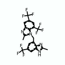 Cc1nc2c(Cn3c(C)nc4cc(C(F)(F)F)cc(C(F)(F)F)c43)cc(C(F)(F)F)cc2[nH]1